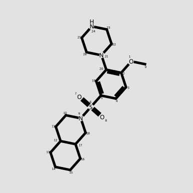 COc1ccc(S(=O)(=O)N2CCC3CCCCC3C2)cc1N1CCNCC1